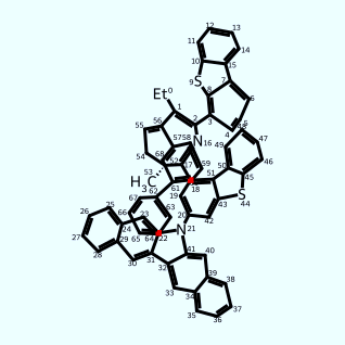 CCC1=C(c2cccc3c2sc2ccccc23)/N=C(/c2cc(-n3c4cc5ccccc5cc4c4cc5ccccc5cc43)cc3sc4ccccc4c23)[C@H](C)C\C=C\1c1cccc(-c2ccccc2)c1